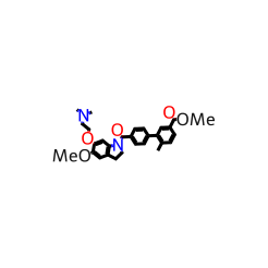 COC(=O)c1ccc(C)c(-c2ccc(C(=O)N3CCc4cc(OC)c(OCCN(C)C)cc43)cc2)c1